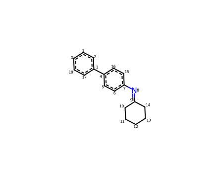 c1ccc(-c2ccc(N=C3CCCCC3)cc2)cc1